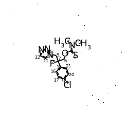 CN(C)C(=S)OCC(F)(Cn1ccnn1)c1ccc(Cl)cc1